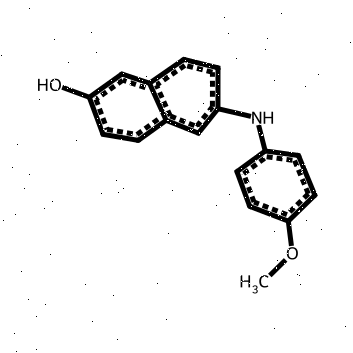 COc1ccc(Nc2ccc3cc(O)ccc3c2)cc1